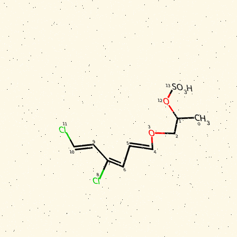 CC(CO/C=C/C=C(Cl)\C=C\Cl)OS(=O)(=O)O